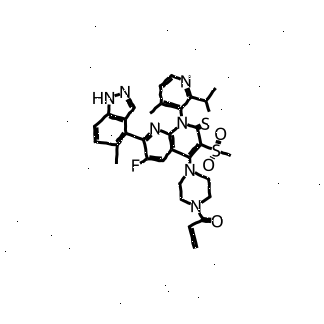 C=CC(=O)N1CCN(c2c(S(C)(=O)=O)c(=S)n(-c3c(C)ccnc3C(C)C)c3nc(-c4c(C)ccc5[nH]ncc45)c(F)cc23)CC1